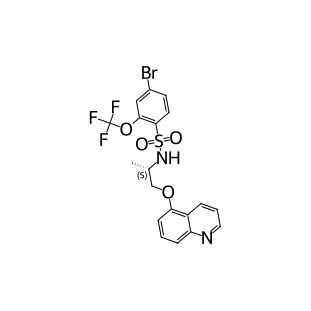 C[C@@H](COc1cccc2ncccc12)NS(=O)(=O)c1ccc(Br)cc1OC(F)(F)F